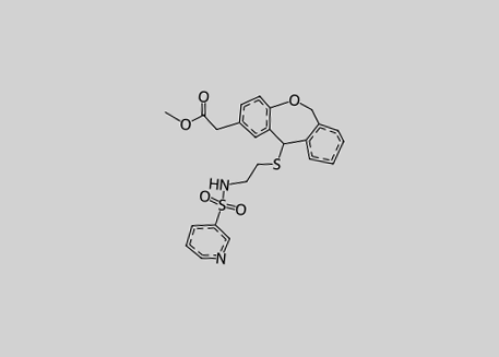 COC(=O)Cc1ccc2c(c1)C(SCCNS(=O)(=O)c1cccnc1)c1ccccc1CO2